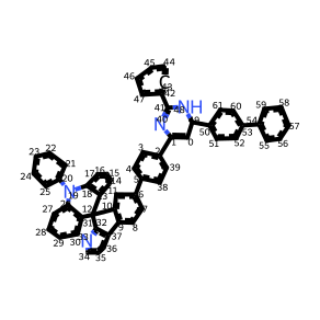 C1=C(c2ccc(-c3ccc4c(c3)C3(c5ccccc5N(c5ccccc5)c5ccccc53)c3ncccc3-4)cc2)N=C(c2ccccc2)NC1c1ccc(-c2ccccc2)cc1